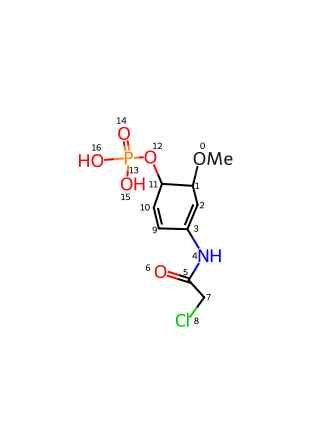 COC1C=C(NC(=O)CCl)C=CC1OP(=O)(O)O